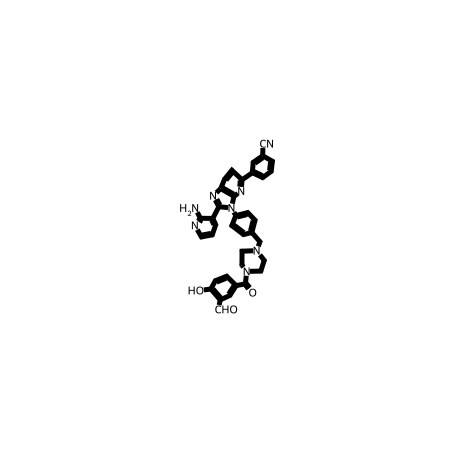 N#Cc1cccc(-c2ccc3nc(-c4cccnc4N)n(-c4ccc(CN5CCN(C(=O)c6ccc(O)c(C=O)c6)CC5)cc4)c3n2)c1